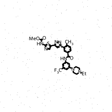 CCN1CCN(c2cc(NC(=O)c3ccc(C)c(-n4cc(-c5cnc(NC(=O)OC)s5)nn4)c3)cc(C(F)(F)F)c2)CC1